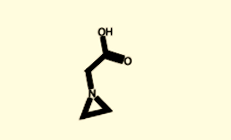 O=C(O)[CH]N1CC1